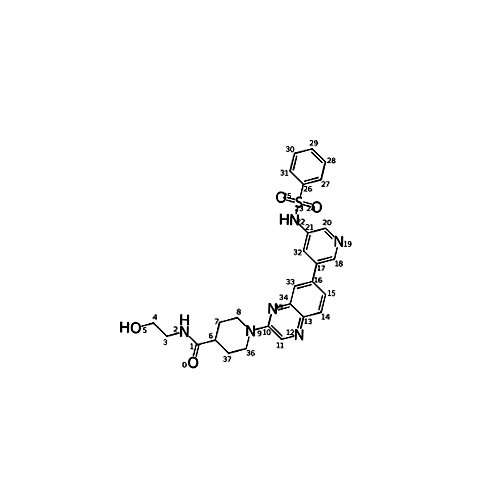 O=C(NCCO)C1CCN(c2cnc3ccc(-c4cncc(NS(=O)(=O)c5ccccc5)c4)cc3n2)CC1